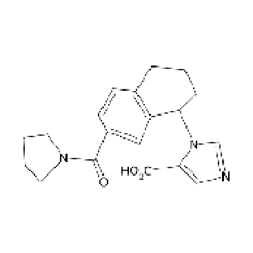 O=C(O)c1cncn1C1CCCc2ccc(C(=O)N3CCCC3)cc21